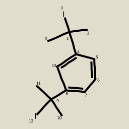 CC(C)(I)c1cccc(C(C)(C)I)c1